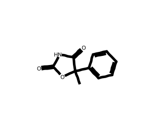 CC1(c2ccccc2)OC(=O)NC1=O